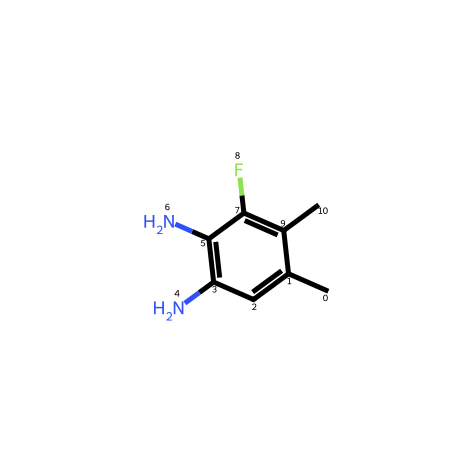 Cc1cc(N)c(N)c(F)c1C